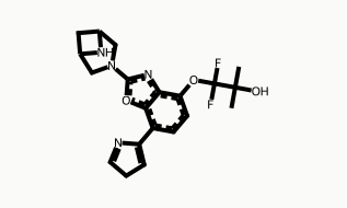 CC(C)(O)C(F)(F)Oc1ccc(C2=CCC=N2)c2oc(N3CC4CC(C3)N4)nc12